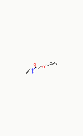 C#CCNC(=O)CCOCCOC